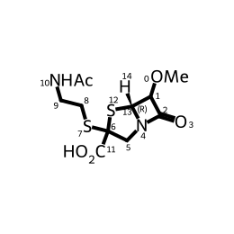 COC1C(=O)N2CC(SCCNC(C)=O)(C(=O)O)S[C@H]12